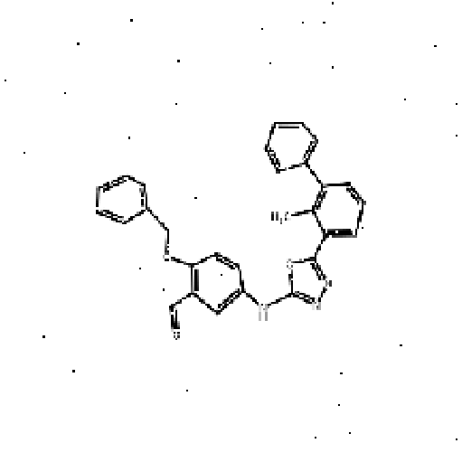 Cc1c(-c2ccccc2)cccc1-c1nnc(Nc2ccc(OCc3ccccc3)c(C=O)c2)o1